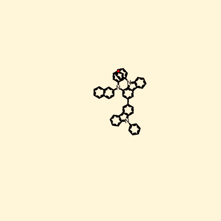 c1ccc(N(c2ccc3ccccc3c2)c2cc(-c3ccc4c(c3)c3ccccc3n4-c3ccccc3)cc3c4ccccc4n(-c4ccccc4)c23)cc1